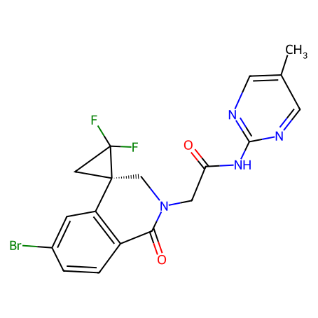 Cc1cnc(NC(=O)CN2C[C@@]3(CC3(F)F)c3cc(Br)ccc3C2=O)nc1